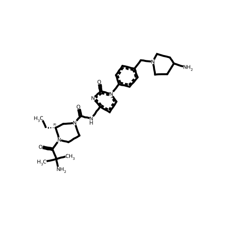 CC[C@@H]1CN(C(=O)Nc2ccn(-c3ccc(CN4CCC(N)CC4)cc3)c(=O)n2)CCN1C(=O)C(C)(C)N